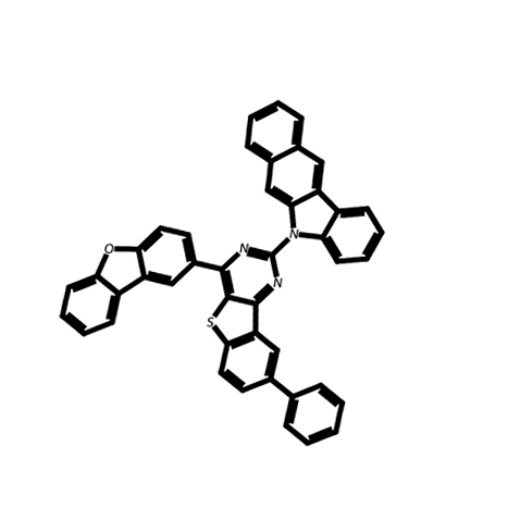 c1ccc(-c2ccc3sc4c(-c5ccc6oc7ccccc7c6c5)nc(-n5c6ccccc6c6cc7ccccc7cc65)nc4c3c2)cc1